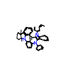 C=C/C(=C\C=C/C)n1c2c(c3ccccc31)N(c1ccccc1)c1cccc3c1B2c1cccc2c1N3C1(C)CCCCC21C